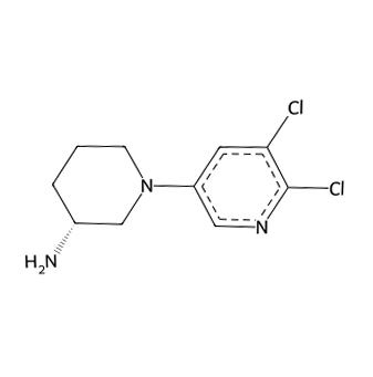 N[C@@H]1CCCN(c2cnc(Cl)c(Cl)c2)C1